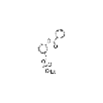 CCOP(C)(=O)OCc1cccc(OC(=O)c2ccccc2)c1